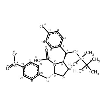 CC(C)(C)[Si](C)(C)OC(c1ccc(Cl)nc1)[C@H]1CC[C@H](Cc2ccc([N+](=O)[O-])cc2)N1C(=O)O